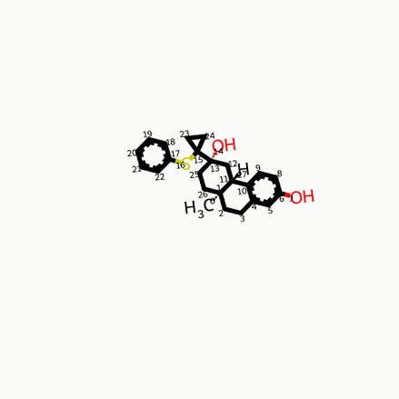 C[C@@]12CCc3cc(O)ccc3[C@H]1C[C@](O)(C1(Sc3ccccc3)CC1)CC2